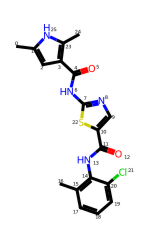 Cc1cc(C(=O)Nc2ncc(C(=O)Nc3c(C)cccc3Cl)s2)c(C)[nH]1